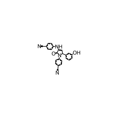 N#Cc1ccc(NC2=CC(c3cccc(O)c3)N(c3ccc(C#N)cc3)C2=O)cc1